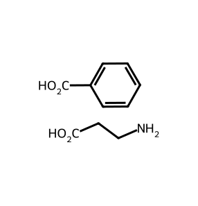 NCCC(=O)O.O=C(O)c1ccccc1